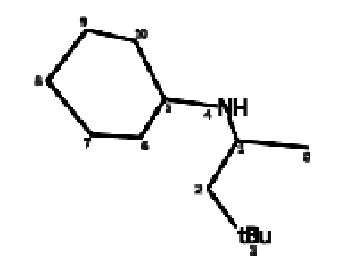 CC(CC(C)(C)C)NC1CCCCC1